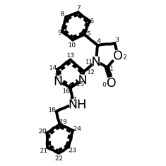 O=C1OCC(c2ccccc2)N1c1ccnc(NCc2ccccc2)n1